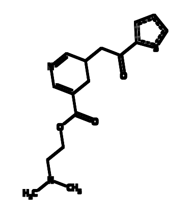 CN(C)CCOC(=O)C1=CN=CC(CC(=O)c2cccs2)C1